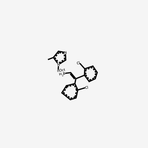 BC=C(c1ccccc1Cl)c1ccccc1Cl.CCCCCCCCn1cncc1C